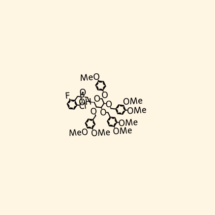 COc1ccc(OC2O[C@H](CCP(=O)(O)Cc3c(F)cccc3Cl)[C@@H](OCc3ccc(OC)c(OC)c3)[C@H](OCc3ccc(OC)c(OC)c3)[C@@H]2OCc2ccc(OC)c(OC)c2)cc1